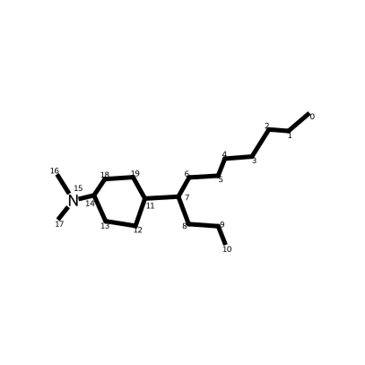 CCCCCCCC(CCC)C1CCC(N(C)C)CC1